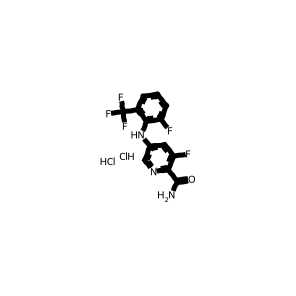 Cl.Cl.NC(=O)c1ncc(Nc2c(F)cccc2C(F)(F)F)cc1F